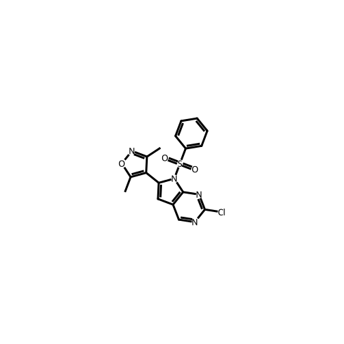 Cc1noc(C)c1-c1cc2cnc(Cl)nc2n1S(=O)(=O)c1ccccc1